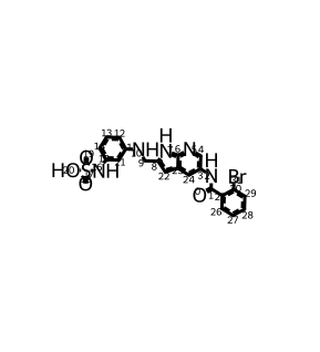 O=C(Nc1cnc2[nH]c(CNc3cccc(NS(=O)(=O)O)c3)cc2c1)c1ccccc1Br